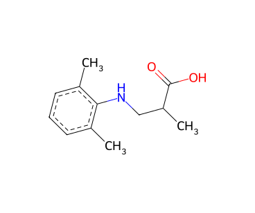 Cc1cccc(C)c1NCC(C)C(=O)O